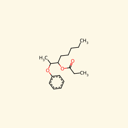 CCCCCC(OC(=O)CC)C(C)Oc1ccccc1